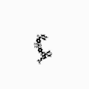 CC1CN(C(=O)c2ccc(NC(=O)Nc3ccc(-c4nc(N5CCOCC5)c5ccn(CCN(C)C)c5n4)cc3)cc2)CCN1C